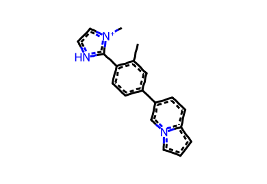 Cc1cc(-c2ccc3cccn3c2)ccc1-c1[nH]cc[n+]1C